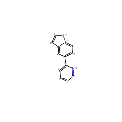 [c]1cc2cc(-c3ccccn3)ccc2s1